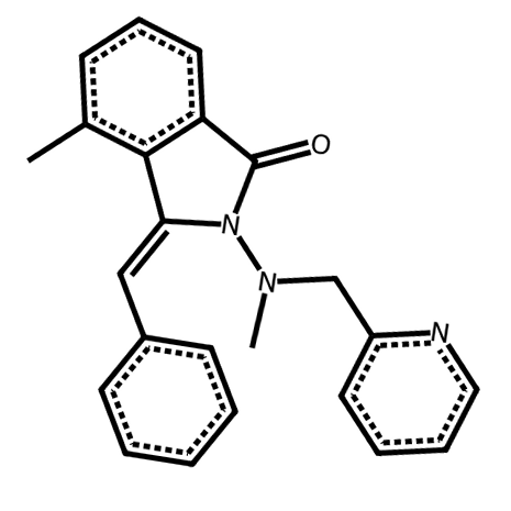 Cc1cccc2c1/C(=C/c1ccccc1)N(N(C)Cc1ccccn1)C2=O